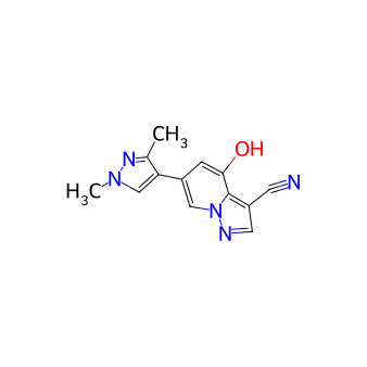 Cc1nn(C)cc1-c1cc(O)c2c(C#N)cnn2c1